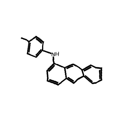 Cc1ccc(Nc2cccc3cc4ccccc4cc23)cc1